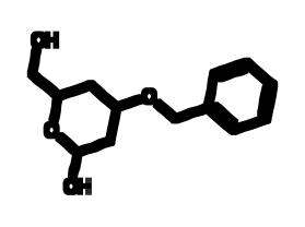 OCC1CC(OCc2ccccc2)CC(O)O1